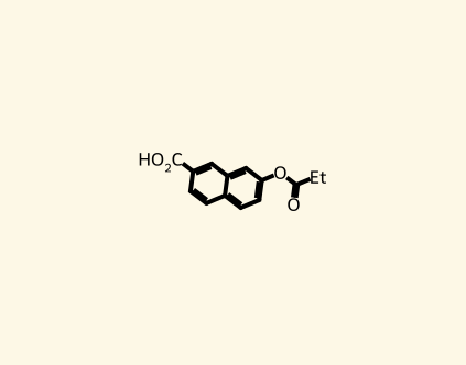 CCC(=O)Oc1ccc2ccc(C(=O)O)cc2c1